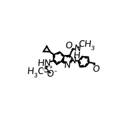 CNC(=O)c1c2cc(C3CC3)c(N[S+](C)[O-])cc2nn1-c1ccc(C=O)cc1